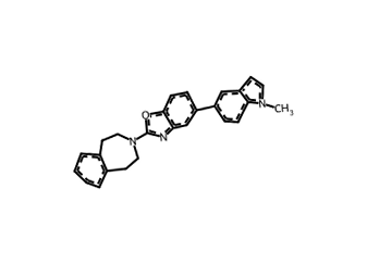 Cn1ccc2cc(-c3ccc4oc(N5CCc6ccccc6CC5)nc4c3)ccc21